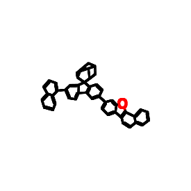 c1ccc2c(-c3ccc4c(c3)C3(c5ccc(-c6ccc7c(c6)oc6c8ccccc8ccc76)cc5-4)C4CC5CC(C4)CC3C5)cccc2c1